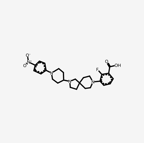 O=C(O)c1cccc(N2CCC3(CC2)CCN(C2CCN(c4ccc([N+](=O)[O-])cc4)CC2)C3)c1F